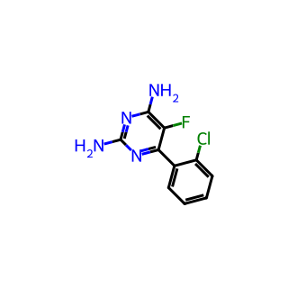 Nc1nc(N)c(F)c(-c2ccccc2Cl)n1